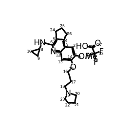 COc1cc2c3c(c(NC4CC4)nc2cc1OCCCN1CCCC1)CCC3.O=C(O)C(F)(F)F